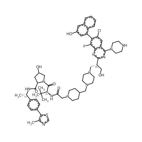 Cc1ncsc1-c1ccc([C@H](C)NC(=O)C2CC(O)CN2C(=O)[C@@H](NC(=O)CN2CCC(CN3CCN(C[C@@H](CO)c4nc(N5CCNCC5)c5cc(Cl)c(-c6cc(O)cc7ccccc67)c(F)c5n4)CC3)CC2)C(C)(C)C)cc1